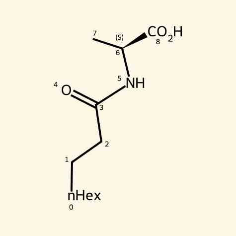 CCCCCCCCC(=O)N[C@@H](C)C(=O)O